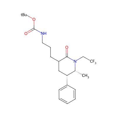 C[C@@H]1[C@H](c2ccccc2)CC(CCCNC(=O)OC(C)(C)C)C(=O)N1CC(F)(F)F